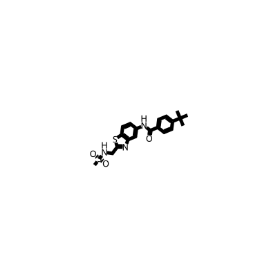 CC(C)(C)c1ccc(C(=O)Nc2ccc3sc(CNS(C)(=O)=O)nc3c2)cc1